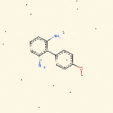 COc1ccc(-c2c(N)cccc2N)cc1